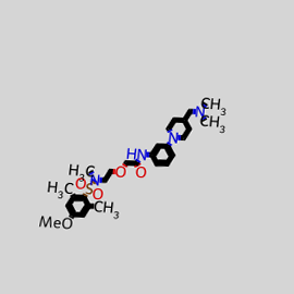 COc1cc(C)c(S(=O)(=O)N(C)CCOCC(=O)Nc2cccc(N3CCC(CN(C)C)CC3)c2)c(C)c1